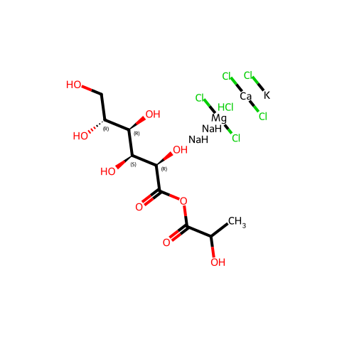 CC(O)C(=O)OC(=O)[C@H](O)[C@@H](O)[C@H](O)[C@H](O)CO.Cl.[Cl][Ca][Cl].[Cl][K].[Cl][Mg][Cl].[NaH].[NaH]